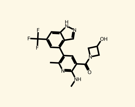 CNc1nc(C)c(-c2cc(C(F)(F)F)cc3[nH]ncc23)cc1C(=O)N1CC(O)C1